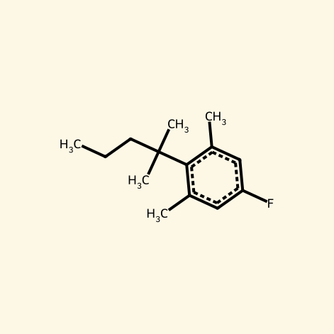 CCCC(C)(C)c1c(C)cc(F)cc1C